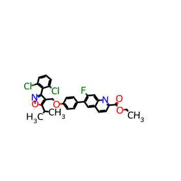 CCOC(=O)c1ccc2cc(-c3ccc(OCc4c(-c5c(Cl)cccc5Cl)noc4C(C)C)cc3)c(F)cc2n1